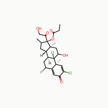 CCC(=O)O[C@]1(C(=O)CO)C(C)C[C@H]2[C@@H]3CC(F)C4=CC(=O)C(Cl)=C[C@]4(C)[C@@]3(Cl)C(O)C[C@@]21C